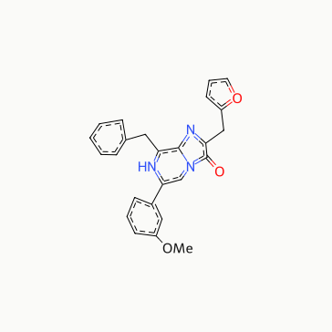 COc1cccc(-c2cn3c(=O)c(Cc4ccco4)nc-3c(Cc3ccccc3)[nH]2)c1